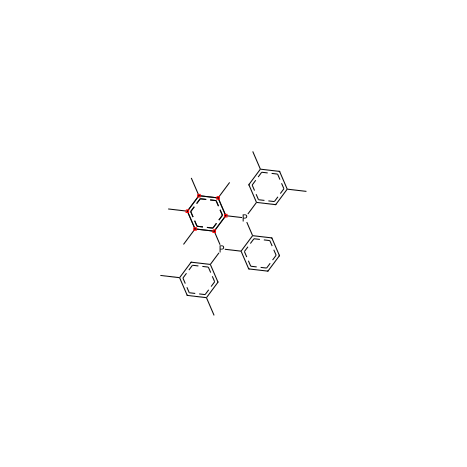 Cc1cc(C)cc(P(c2cc(C)cc(C)c2)c2ccccc2P(c2cc(C)cc(C)c2)c2cc(C)cc(C)c2)c1